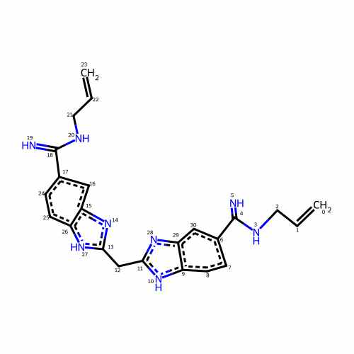 C=CCNC(=N)c1ccc2[nH]c(Cc3nc4cc(C(=N)NCC=C)ccc4[nH]3)nc2c1